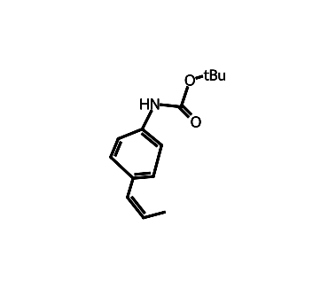 C/C=C\c1ccc(NC(=O)OC(C)(C)C)cc1